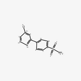 NS(=O)(=O)c1ccc(-c2cc(Cl)cnn2)cc1